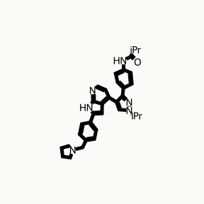 CC(C)C(=O)Nc1ccc(-c2nn(C(C)C)cc2-c2ccnc3[nH]c(-c4ccc(CN5CCCC5)cc4)cc23)cc1